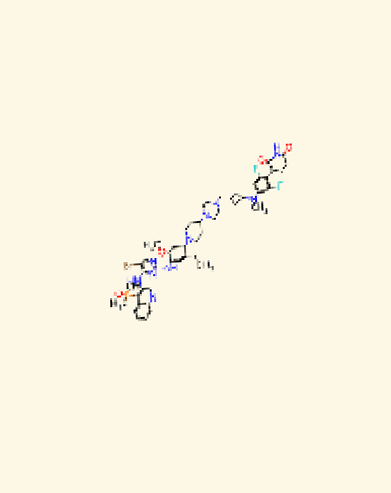 CCc1cc(Nc2ncc(Br)c(Nc3cnc4ccccc4c3P(C)(C)=O)n2)c(OC)cc1N1CCC(N2CCN(C[C@H]3C[C@H](N(C)c4cc(F)c(C5CCC(=O)NC5=O)c(F)c4)C3)CC2)CC1